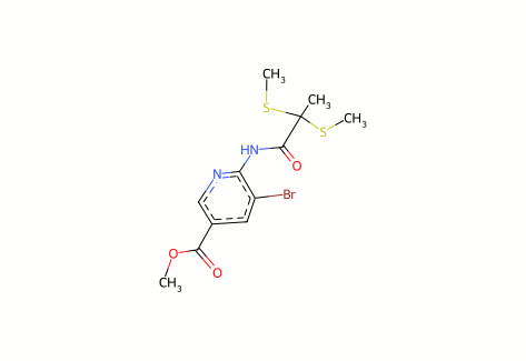 COC(=O)c1cnc(NC(=O)C(C)(SC)SC)c(Br)c1